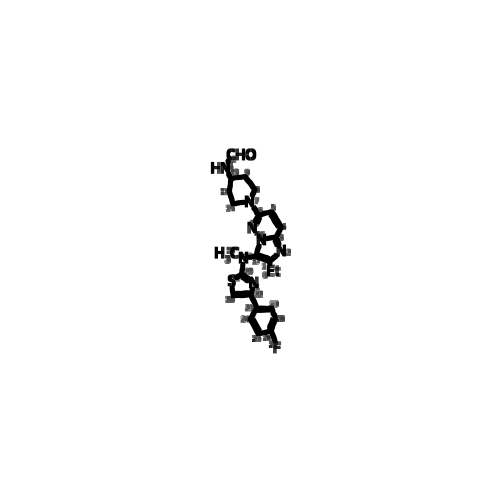 CCc1nc2ccc(N3CCC(NC=O)CC3)nn2c1N(C)c1nc(-c2ccc(F)cc2)cs1